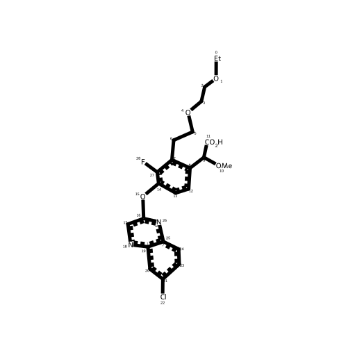 CCOCCOCCc1c(C(OC)C(=O)O)ccc(Oc2cnc3cc(Cl)ccc3n2)c1F